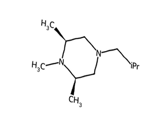 CC(C)CN1C[C@@H](C)N(C)[C@@H](C)C1